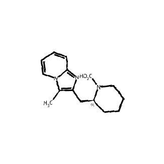 Cc1c(C[C@@H]2CCCCN2C(=O)O)nc2ccccn12